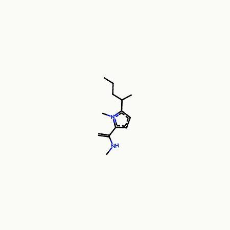 C=C(NC)c1ccc(C(C)CCC)n1C